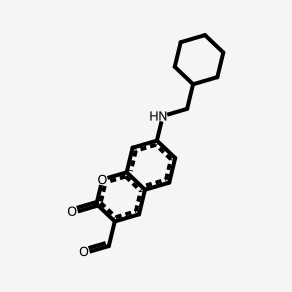 O=Cc1cc2ccc(NCC3CCCCC3)cc2oc1=O